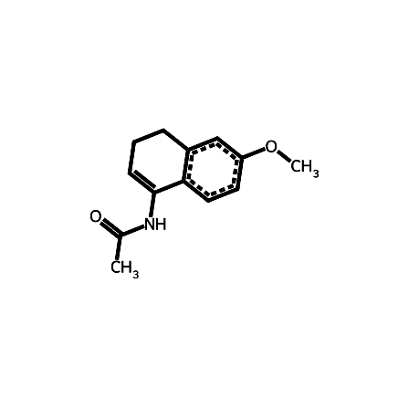 COc1ccc2c(c1)CCC=C2NC(C)=O